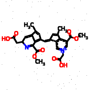 COC(=O)C1=NC(CC(=O)O)C=C2C(C)=CC(/C=C3\C=C(C)c4c(C(=O)OC)c[n+](CC(=O)O)cc43)=C21